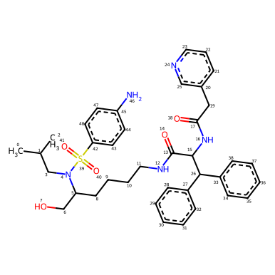 CC(C)CN(C(CO)CCCCNC(=O)C(NC(=O)Cc1cccnc1)C(c1ccccc1)c1ccccc1)S(=O)(=O)c1ccc(N)cc1